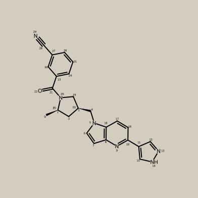 C[C@@H]1C[C@H](Cn2ccc3nc(-c4cn[nH]c4)ccc32)CN1C(=O)c1cccc(C#N)c1